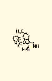 Cc1ccc2c(C=N)c(/C=C\I)oc2c1-c1cccc[n+]1C